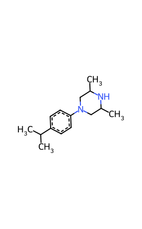 CC1CN(c2ccc(C(C)C)cc2)CC(C)N1